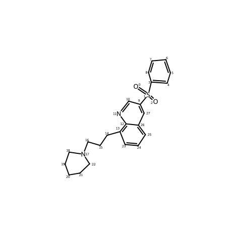 O=S(=O)(c1ccccc1)c1cnc2c(CCCN3CCCCC3)cccc2c1